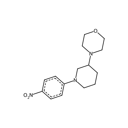 O=[N+]([O-])c1ccc(N2CCCC(N3CCOCC3)C2)cc1